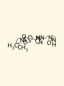 CC1(C)CCCN(S(=O)(=O)c2ccc(-c3ccnc(NCCN4CCNC4=O)n3)s2)C1